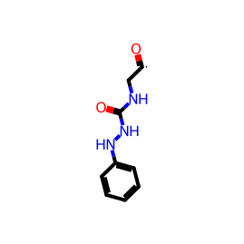 O=[C]CNC(=O)NNc1ccccc1